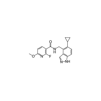 COc1ccc(C(=O)NCc2c(C3CC3)ccc3[nH]ncc23)c(F)n1